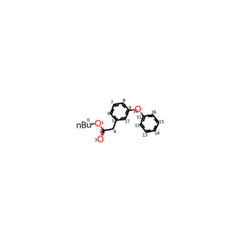 CCCCOC(=O)Cc1cccc(Oc2ccccc2)c1